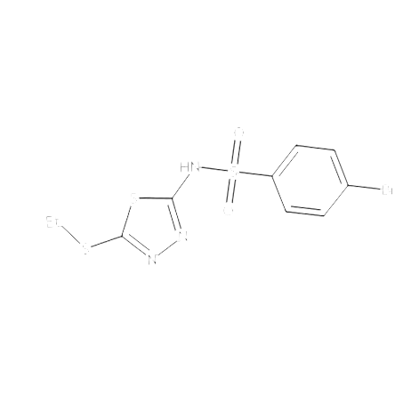 CCSc1nnc(NS(=O)(=O)c2ccc(Br)cc2)s1